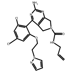 C=CCNC(=O)N1Cc2nc(N)nc(-c3c(Cl)cc(Cl)cc3OCCn3cccn3)c2C1